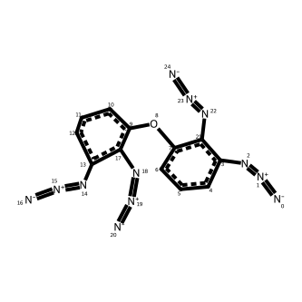 [N-]=[N+]=Nc1cccc(Oc2cccc(N=[N+]=[N-])c2N=[N+]=[N-])c1N=[N+]=[N-]